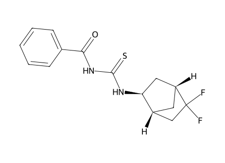 O=C(NC(=S)N[C@H]1C[C@H]2C[C@@H]1CC2(F)F)c1ccccc1